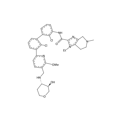 CCn1c(C(=O)Nc2cccc(-c3cccc(-c4ccc(CN[C@H]5CCOC[C@@H]5O)c(OC)n4)c3Cl)c2Cl)nc2c1CCN(C)C2